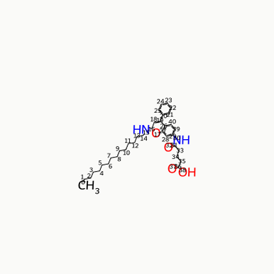 CCCCCCCCCCCCCCCNC(=O)C=C(c1ccccc1)c1ccc(NC(=O)CCCC(=O)O)cc1